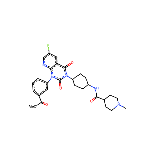 COC(=O)c1cccc(-n2c(=O)n(C3CCC(NC(=O)C4CCN(C)CC4)CC3)c(=O)c3cc(F)cnc32)c1